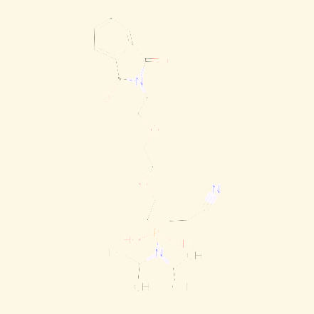 CC(C)N(C(C)C)P(O)(O)(CCC#N)CCOCCOCCN1C(=O)c2ccccc2C1=O